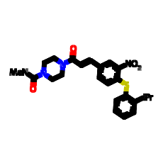 CNC(=O)N1CCN(C(=O)C=Cc2ccc(Sc3ccccc3C(C)C)c([N+](=O)[O-])c2)CC1